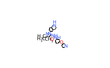 CC(C)(C)c1cc(NC(=O)Nc2cccc(Oc3cccnc3)c2)n(-c2ccc3c(c2)CCNC3)n1